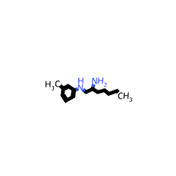 CCCCCC(N)CNc1cccc(C)c1